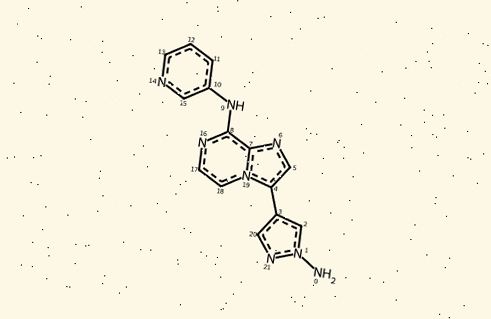 Nn1cc(-c2cnc3c(Nc4cccnc4)nccn23)cn1